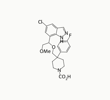 COCC(OCC1(c2ccc(F)cc2)CCN(C(=O)O)CC1)c1cc(Cl)cc2cn[nH]c12